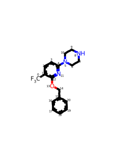 FC(F)(F)c1ccc(N2CCNCC2)nc1OCc1ccccc1